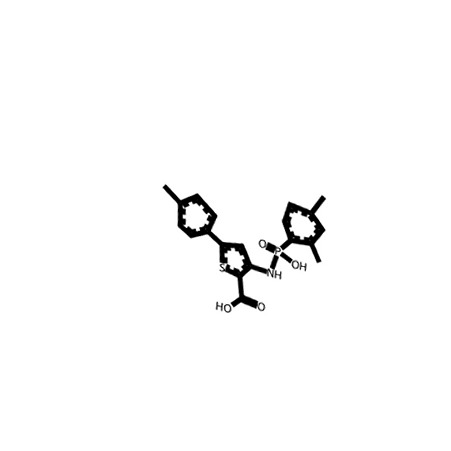 Cc1ccc(-c2cc(NP(=O)(O)c3ccc(C)cc3C)c(C(=O)O)s2)cc1